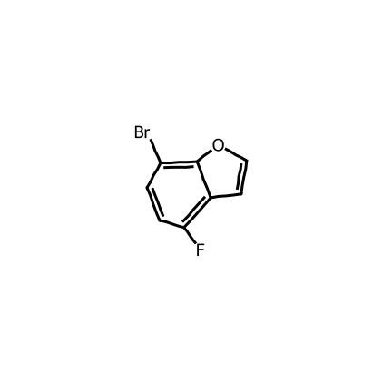 Fc1ccc(Br)c2occc12